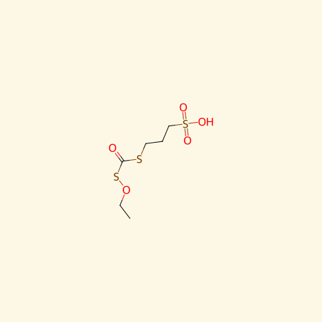 CCOSC(=O)SCCCS(=O)(=O)O